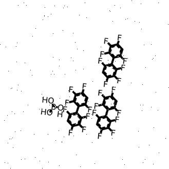 Fc1cc(F)c(-c2c(F)cc(F)c(F)c2F)c(F)c1F.Fc1cc(F)c(-c2c(F)cc(F)c(F)c2F)c(F)c1F.Fc1cc(F)c(-c2c(F)cc(F)c(F)c2F)c(F)c1F.OB(O)O